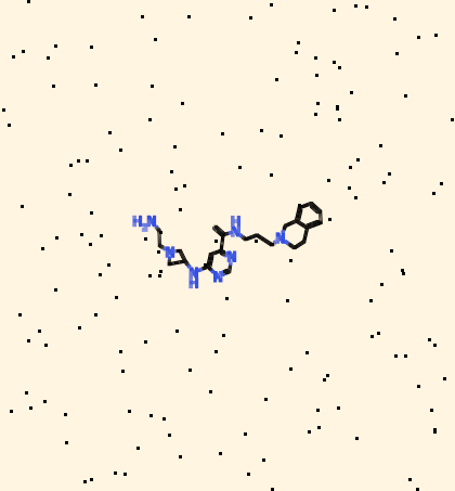 C=C(NCCCN1CCc2ccccc2C1)c1cc(NC2CN(CCN)C2)ncn1